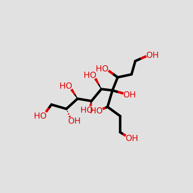 OCCC(O)C(O)(C(O)CCO)[C@H](O)[C@@H](O)[C@H](O)[C@H](O)CO